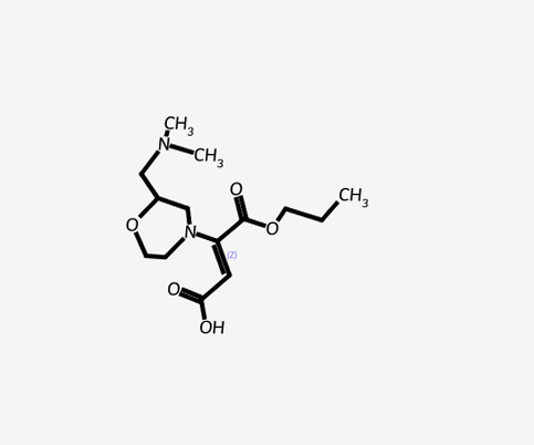 CCCOC(=O)/C(=C/C(=O)O)N1CCOC(CN(C)C)C1